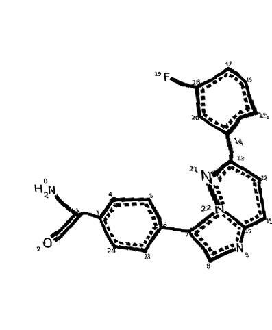 NC(=O)c1ccc(-c2cnc3ccc(-c4cccc(F)c4)nn23)cc1